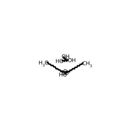 CCCCCCCCCCCCC=COP(=O)(O)OC=CCCCCCCCCCCCC.OCCN(CCO)CCO